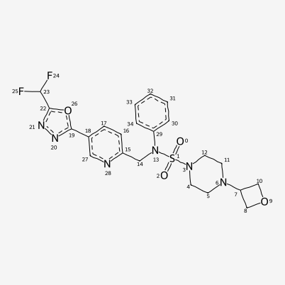 O=S(=O)(N1CCN(C2COC2)CC1)N(Cc1ccc(-c2nnc(C(F)F)o2)cn1)c1ccccc1